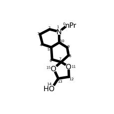 CCCN1CCCC2CC3(CCC21)OCC(O)O3